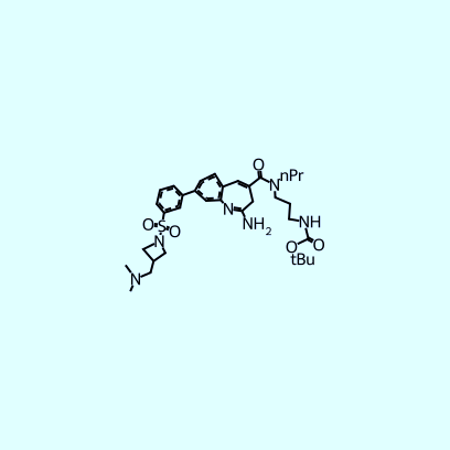 CCCN(CCCNC(=O)OC(C)(C)C)C(=O)C1=Cc2ccc(-c3cccc(S(=O)(=O)N4CC(CN(C)C)C4)c3)cc2N=C(N)C1